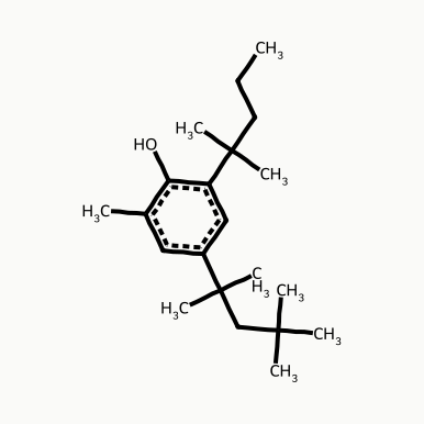 CCCC(C)(C)c1cc(C(C)(C)CC(C)(C)C)cc(C)c1O